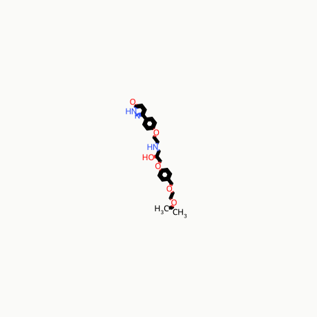 CC(C)OCCOCc1ccc(OCC(O)CNCCOc2ccc(-c3ccc(=O)[nH]n3)cc2)cc1